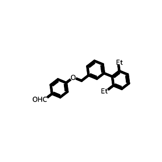 CCc1cccc(CC)c1-c1cccc(COc2ccc(C=O)cc2)c1